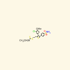 COc1ccc(-c2c(-c3ccc(S(N)(=O)=O)cc3)csc2CCCSC(=S)N(C)O)cc1Cl